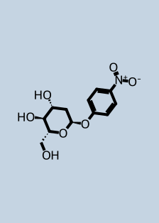 O=[N+]([O-])c1ccc(O[C@@H]2C[C@@H](O)[C@H](O)[C@@H](CO)O2)cc1